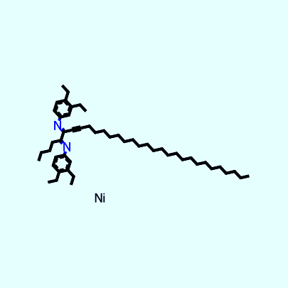 CCCCCCCCCCCCCCCCCCCCCCCC#CC(=Nc1ccc(CC)c(CC)c1)C(CCCC)=Nc1ccc(CC)c(CC)c1.[Ni]